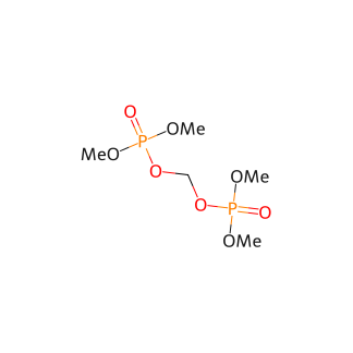 COP(=O)(OC)OCOP(=O)(OC)OC